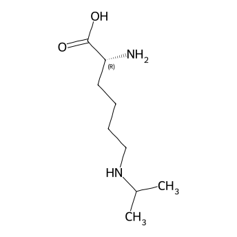 CC(C)NCCCC[C@@H](N)C(=O)O